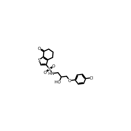 O=C1CCCc2c(S(=O)(=O)NCC(O)COc3ccc(Cl)cc3)csc21